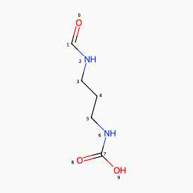 O=CNCCCNC(=O)O